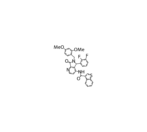 COc1ccc(CN2C(=O)c3nccc(NC(=O)c4csc5ccccc45)c3C2c2cccc(F)c2F)c(OC)c1